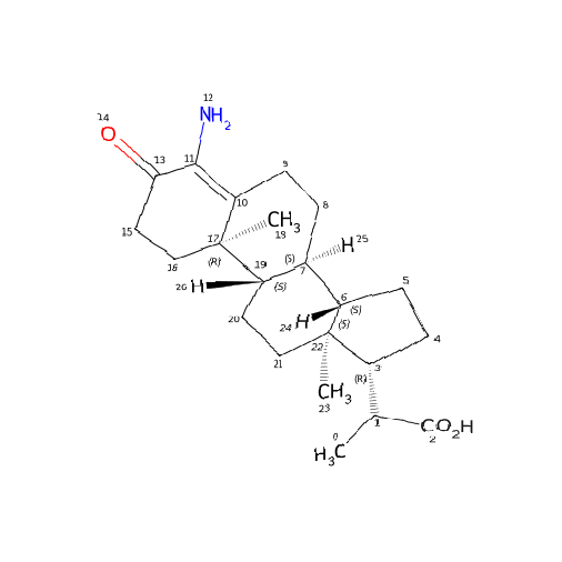 CC(C(=O)O)[C@H]1CC[C@H]2[C@@H]3CCC4=C(N)C(=O)CC[C@]4(C)[C@H]3CC[C@]12C